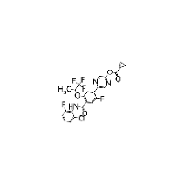 CC(Oc1cc(-c2cnc(OC(=O)C3CC3)cn2)c(F)cc1C(=O)Nc1c(F)cccc1Cl)C(F)(F)F